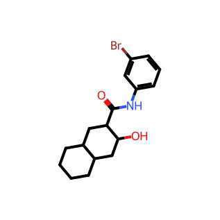 O=C(Nc1cccc(Br)c1)C1CC2CCCCC2CC1O